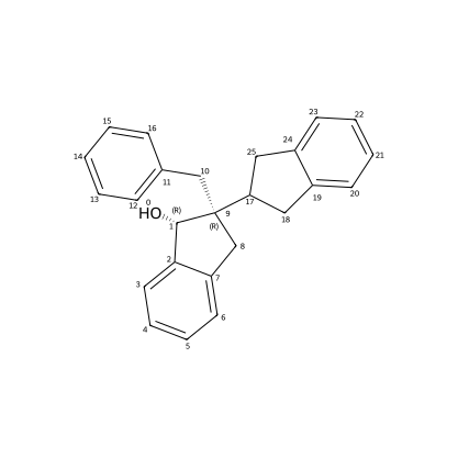 O[C@H]1c2ccccc2C[C@]1(Cc1ccccc1)C1Cc2ccccc2C1